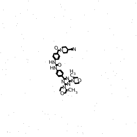 C[C@H]1COCCN1c1nc(-c2ccc(NC(=O)Nc3ccc(C(=O)N4CCC(C#N)CC4)cc3)cc2)nc(N2CCOC[C@@H]2C)n1